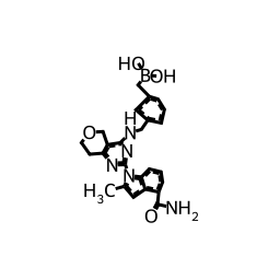 Cc1cc2c(C(N)=O)cccc2n1-c1nc2c(c(NCc3cccc(CB(O)O)c3)n1)COCC2